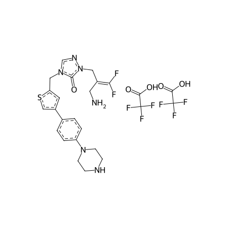 NCC(Cn1ncn(Cc2cc(-c3ccc(N4CCNCC4)cc3)cs2)c1=O)=C(F)F.O=C(O)C(F)(F)F.O=C(O)C(F)(F)F